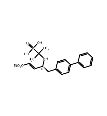 CCOC(=O)C=C[C@H](Cc1ccc(-c2ccccc2)cc1)NC(C)(C)P(=O)(O)O